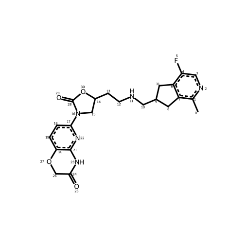 Cc1ncc(F)c2c1CC(CNCCC1CN(c3ccc4c(n3)NC(=O)CO4)C(=O)O1)C2